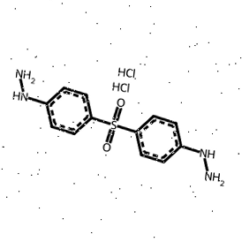 Cl.Cl.NNc1ccc(S(=O)(=O)c2ccc(NN)cc2)cc1